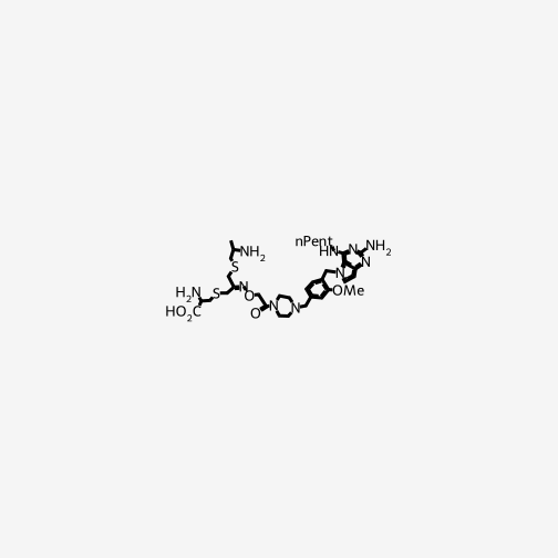 CCCCCNc1nc(N)nc2ccn(Cc3ccc(CN4CCN(C(=O)CO/N=C(/CSCC(C)N)CSCC(N)C(=O)O)CC4)cc3OC)c12